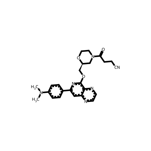 CN(C)c1ccc(-c2cc3nccnc3c(OC[C@@H]3CN(C(=O)CCC#N)CCO3)n2)cc1